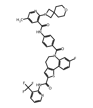 Cc1cnc(N2CC3(CCOCC3)C2)c(C(=O)Nc2ccc(C(=O)N3CCc4cc(C(=O)Nc5ncccc5C(F)(F)F)sc4-c4ccc(F)cc43)cc2)c1